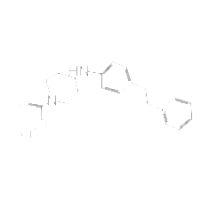 CC(C)(C)OC(=O)N1CCC(Nc2ccc(CCc3ccccc3)cc2)CC1